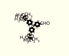 CC1(C)OB(c2ccc(N(c3ccc(C=O)cc3)c3ccc(B4OC(C)(C)C(C)(C)O4)cc3)cc2)OC1(C)C